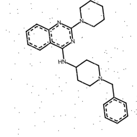 c1ccc(CN2CCC(Nc3nc(N4CCCCC4)nc4ccccc34)CC2)cc1